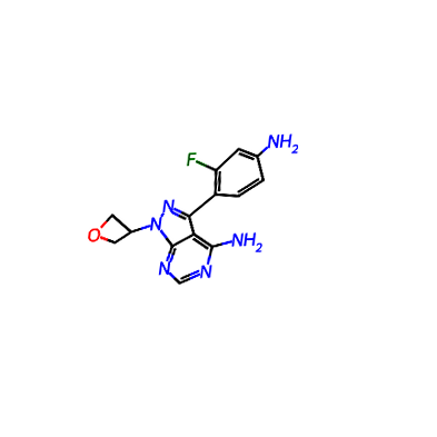 Nc1ccc(-c2nn(C3COC3)c3ncnc(N)c23)c(F)c1